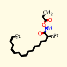 C=CC(=O)ONC(=O)C(CCC)CCCCCC/C=C\C/C=C\C/C=C\CC